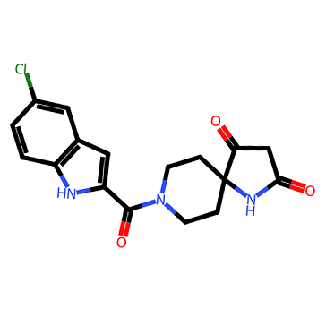 O=C1CC(=O)C2(CCN(C(=O)c3cc4cc(Cl)ccc4[nH]3)CC2)N1